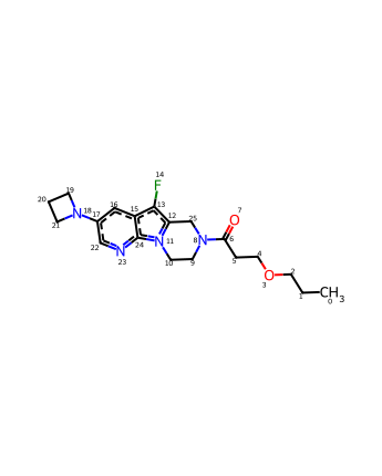 CCCOCCC(=O)N1CCn2c(c(F)c3cc(N4CCC4)cnc32)C1